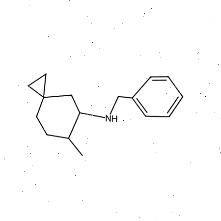 CC1CCC2(CC2)CC1NCc1ccccc1